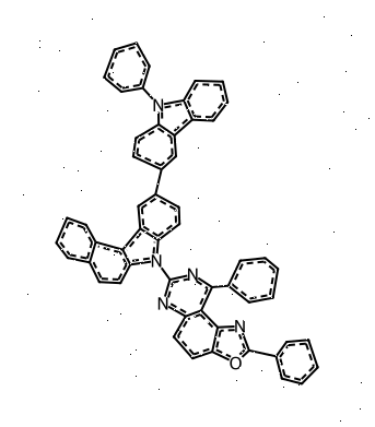 c1ccc(-c2nc3c(ccc4nc(-n5c6ccc(-c7ccc8c(c7)c7ccccc7n8-c7ccccc7)cc6c6c7ccccc7ccc65)nc(-c5ccccc5)c43)o2)cc1